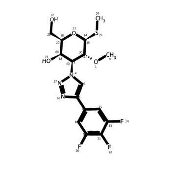 CO[C@@H]1[C@@H](n2cc(-c3cc(F)c(F)c(F)c3)nn2)[C@@H](O)[C@@H](CO)O[C@H]1SC